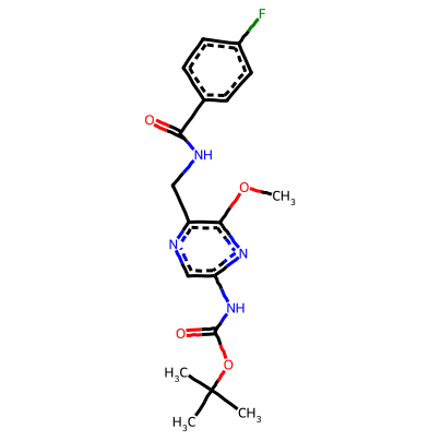 COc1nc(NC(=O)OC(C)(C)C)cnc1CNC(=O)c1ccc(F)cc1